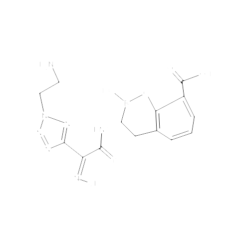 NCCn1nnc(/C(=N/O)C(=O)N[C@H]2Cc3cccc(C(=O)O)c3OB2O)n1